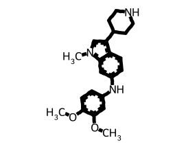 COc1ccc(Nc2ccc3c(C4CCNCC4)cn(C)c3c2)cc1OC